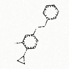 Nc1cc(OCc2ccccc2)ccc1C1CC1